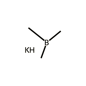 CB(C)C.[KH]